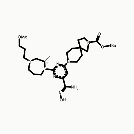 COCCCN1CCCN(c2nc(/C(N)=N/O)cc(N3CCC4(CCN(C(=O)OC(C)(C)C)C4)CC3)n2)[C@@H](C)C1